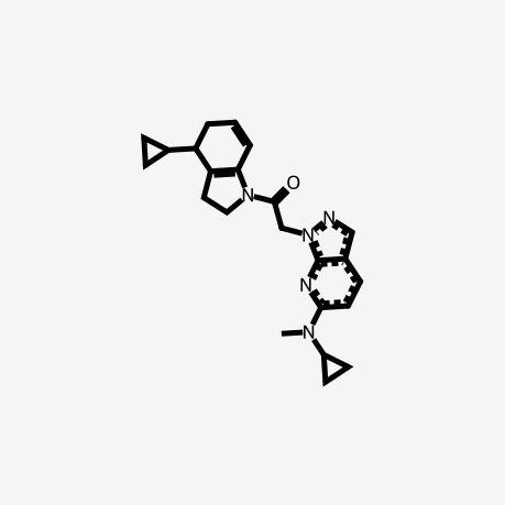 CN(c1ccc2cnn(CC(=O)N3CCC4=C3C=CCC4C3CC3)c2n1)C1CC1